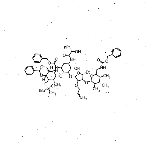 C=CCO[C@H]1[C@H](O[C@@H]2[C@@H](O)[C@H](NC(=O)[C@@H](O)CCC)C[C@H](NC(=O)OCc3ccccc3)[C@H]2O[C@H]2O[C@@H]3COC(c4ccccc4)O[C@H]3[C@H](O[Si](C)(C)C(C)(C)C)[C@H]2C)O[C@H](CC)[C@H]1O[C@H]1O[C@@H](CNC(=O)OCc2ccccc2)[C@@H](C)[C@H](C)[C@H]1C